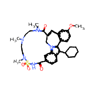 COc1ccc2c(c1)C=C1Cn3c-2c(C2CCCCC2)c2ccc(cc23)C(=O)NS(=O)(=O)N(C)CCN(C)CCN(C)C1=O